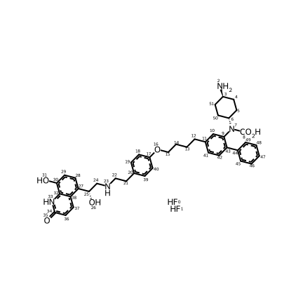 F.F.N[C@H]1CC[C@H](N(C(=O)O)c2cc(CCCCOc3ccc(CCNC[C@H](O)c4ccc(O)c5[nH]c(=O)ccc45)cc3)ccc2-c2ccccc2)CC1